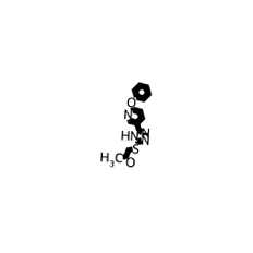 CC(=O)CSc1nnc(-c2ccc(Oc3ccccc3)nc2)[nH]1